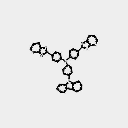 c1cnc2oc(-c3ccc(N(c4ccc(-c5nc6cccnc6o5)cc4)c4ccc(-n5c6ccccc6c6ccccc65)cc4)cc3)nc2c1